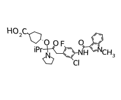 CC(C)C(O[C@H]1CC[C@H](C(=O)O)CC1)(C(=O)Cc1cc(Cl)c(NC(=O)c2cn(C)c3ccccc23)cc1F)N1CCCC1